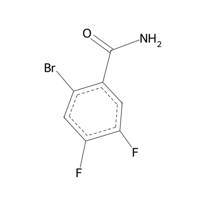 NC(=O)c1cc(F)c(F)cc1Br